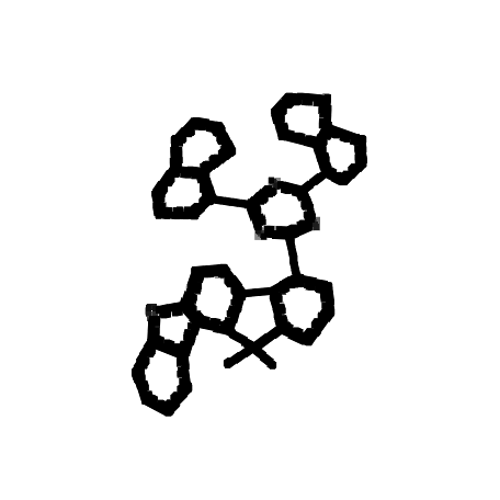 CC1(C)c2cccc(-c3nc(-c4cccc5ccccc45)nc(-c4cccc5ccccc45)n3)c2-c2ccc3oc4ccccc4c3c21